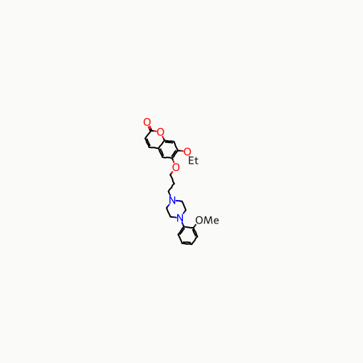 CCOc1cc2oc(=O)ccc2cc1OCCCN1CCN(c2ccccc2OC)CC1